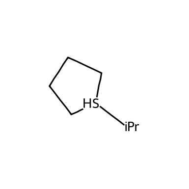 CC(C)[SH]1CCCC1